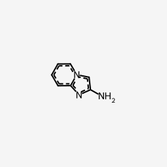 Nc1cn2ccccc2n1